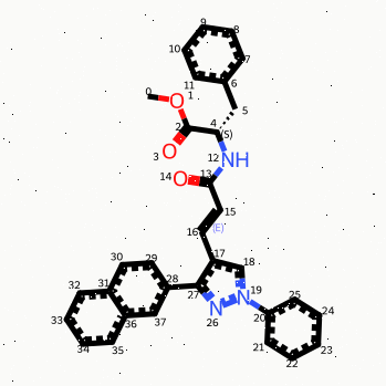 COC(=O)[C@H](Cc1ccccc1)NC(=O)/C=C/c1cn(-c2ccccc2)nc1-c1ccc2ccccc2c1